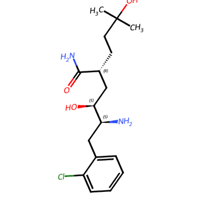 CC(C)(O)CC[C@H](C[C@H](O)[C@@H](N)Cc1ccccc1Cl)C(N)=O